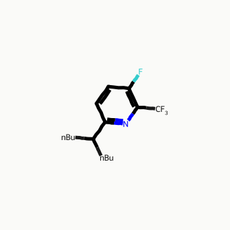 CCCCC(CCCC)c1ccc(F)c(C(F)(F)F)n1